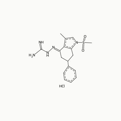 Cc1cn(S(C)(=O)=O)c2c1/C(=N/NC(=N)N)CC(c1ccccc1)C2.Cl